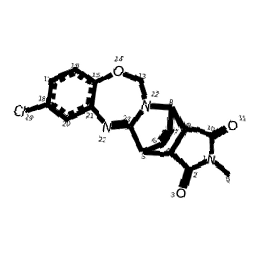 CN1C(=O)C2C3C=CC(C2C1=O)N1COc2ccc(Cl)cc2N=C31